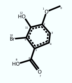 COc1ccc(C(=O)O)c(Br)c1O